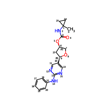 CC1(NC(=O)O[C@H]2CO[C@@H](c3cnc(Nc4ccccc4)nc3)C2)CC1